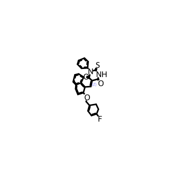 O=C1NC(=S)N(c2ccccc2)C(=O)/C1=C\C1=c2ccccc2=C=C=C1OCC1=CC=C(F)CC1